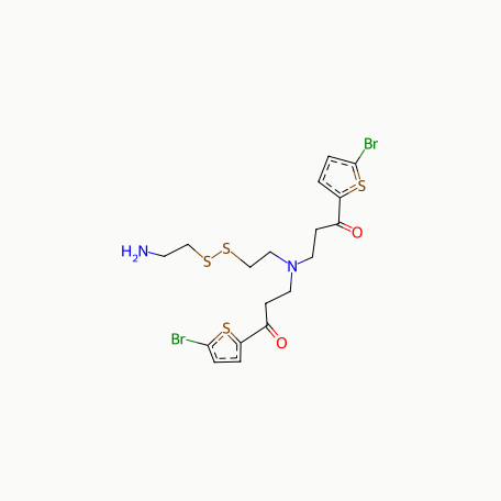 NCCSSCCN(CCC(=O)c1ccc(Br)s1)CCC(=O)c1ccc(Br)s1